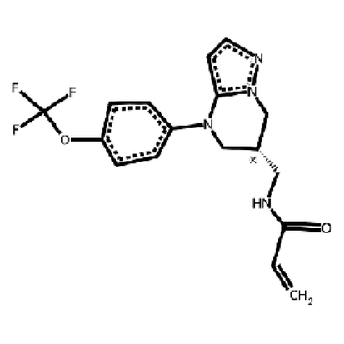 C=CC(=O)NC[C@@H]1CN(c2ccc(OC(F)(F)F)cc2)c2ccnn2C1